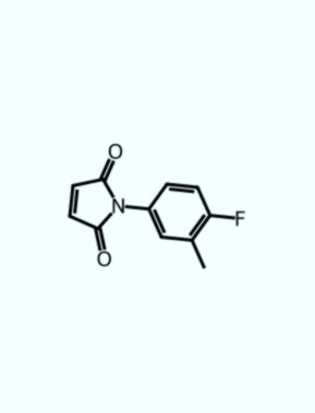 Cc1cc(N2C(=O)C=CC2=O)ccc1F